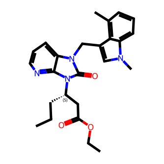 CCC[C@@H](CC(=O)OCC)n1c(=O)n(Cc2cn(C)c3cccc(C)c23)c2cccnc21